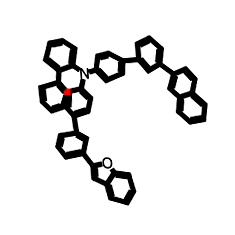 c1ccc(-c2ccccc2N(c2ccc(-c3cccc(-c4ccc5ccccc5c4)c3)cc2)c2ccc(-c3cccc(-c4cc5ccccc5o4)c3)cc2)cc1